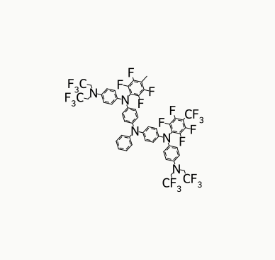 Cc1c(F)c(F)c(N(c2ccc(N(CC(F)(F)F)CC(F)(F)F)cc2)c2ccc(N(c3ccccc3)c3ccc(N(c4ccc(N(CC(F)(F)F)CC(F)(F)F)cc4)c4c(F)c(F)c(C(F)(F)F)c(F)c4F)cc3)cc2)c(F)c1F